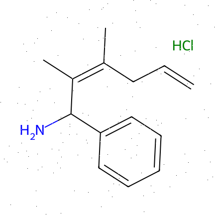 C=CCC(C)=C(C)C(N)c1ccccc1.Cl